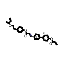 C=CC(=C)OCCc1ccc(OC(=O)/C=C/[C@H]2C=CC(c3ccc(OC(=O)C=C)cc3F)=CC2)cc1